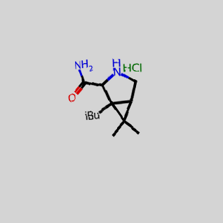 CCC(C)C12C(C(N)=O)NCC1C2(C)C.Cl